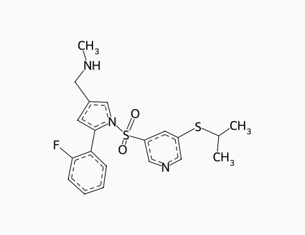 CNCc1cc(-c2ccccc2F)n(S(=O)(=O)c2cncc(SC(C)C)c2)c1